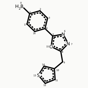 Bc1ccc(-c2nnc(Cc3ccsc3)o2)cc1